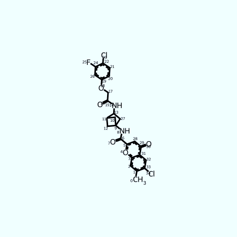 Cc1cc2oc(C(=O)NC34CC(C3)C(NC(=O)COc3ccc(Cl)c(F)c3)C4)cc(=O)c2cc1Cl